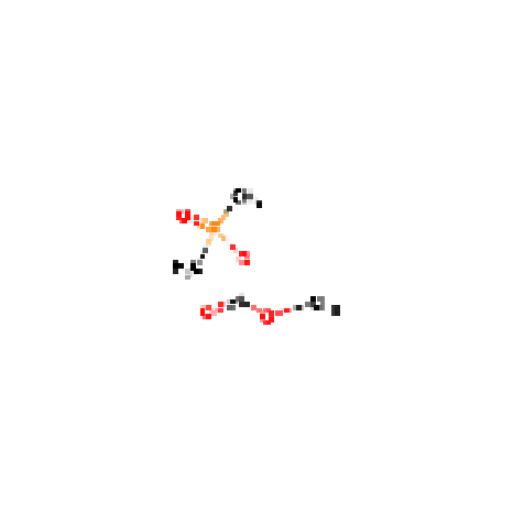 COC(=O)OP(C)(C)=O